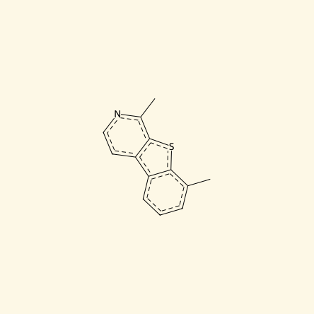 Cc1cccc2c1sc1c(C)nccc12